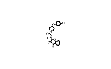 O=C1Nc2ccccc2OC1NCC(=O)N1CCC(Oc2ccc(Cl)cc2)CC1